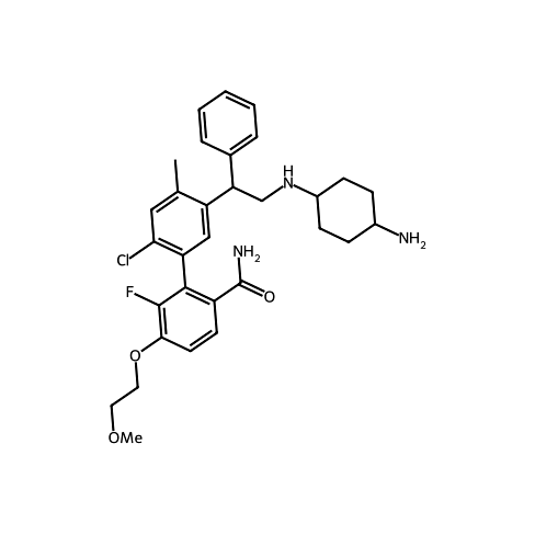 COCCOc1ccc(C(N)=O)c(-c2cc(C(CNC3CCC(N)CC3)c3ccccc3)c(C)cc2Cl)c1F